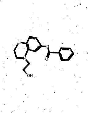 O=C(Oc1ccc2c(c1)N(CCO)CCO2)c1ccccc1